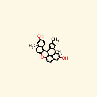 CC1=CC(C)C(C2C3=C4C=CC(O)=CC4(C)CC=C3Oc3ccc4cc(O)ccc4c32)=C1